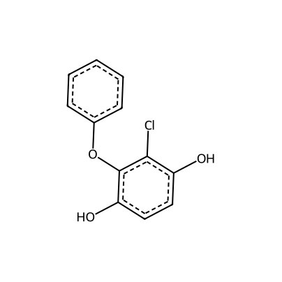 Oc1ccc(O)c(Oc2ccccc2)c1Cl